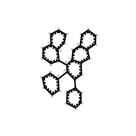 c1ccc(-c2cc3cc4ccccc4cc3c(-c3cccc4ccccc34)c2-c2ccccc2)cc1